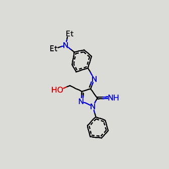 CCN(CC)c1ccc(N=C2C(=N)N(c3ccccc3)N=C2CO)cc1